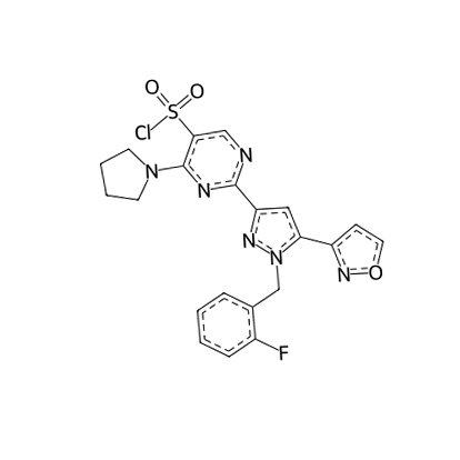 O=S(=O)(Cl)c1cnc(-c2cc(-c3ccon3)n(Cc3ccccc3F)n2)nc1N1CCCC1